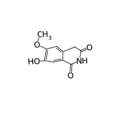 COc1cc2c(cc1O)C(=O)NC(=O)C2